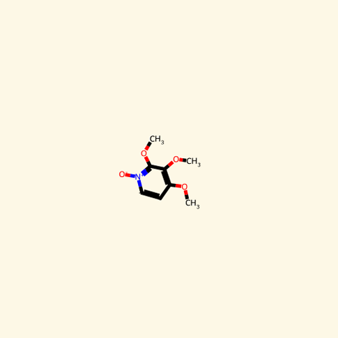 COc1c[c][n+]([O-])c(OC)c1OC